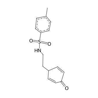 Cc1ccc(S(=O)(=O)NCCC2C=CC(=O)C=C2)cc1